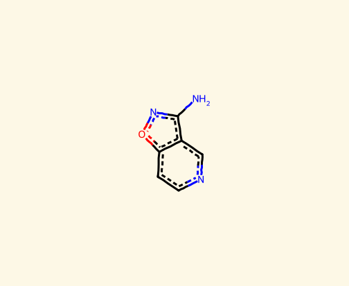 Nc1noc2ccncc12